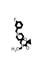 CCN1CC2(CCN(Cc3cccc(F)c3)CC2)OC2(CC2)C1=O